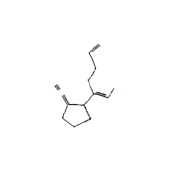 C=C=C1CCCC1/C(=C/C)CCC=C